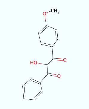 COc1ccc(C(=O)C(O)C(=O)c2ccccc2)cc1